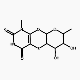 CC1OC2Oc3c(c(=O)[nH]c(=S)n3C)SC2C(O)C1O